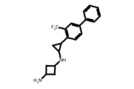 NC1CC(NC2CC2c2ccc(-c3ccccc3)cc2C(F)(F)F)C1